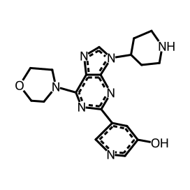 Oc1cncc(-c2nc(N3CCOCC3)c3ncn(C4CCNCC4)c3n2)c1